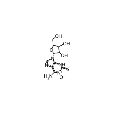 Nc1c2ncn([C@@H]3O[C@H](CO)[C@@H](O)[C@H]3O)c2[nH]c(=S)[n+]1[O-]